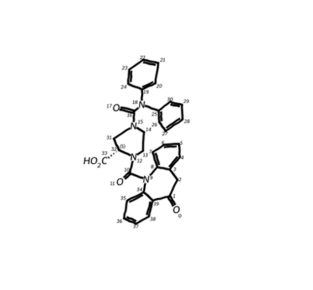 O=C1Cc2ccccc2N(C(=O)N2CCN(C(=O)N(c3ccccc3)c3ccccc3)C[C@H]2C(=O)O)c2ccccc21